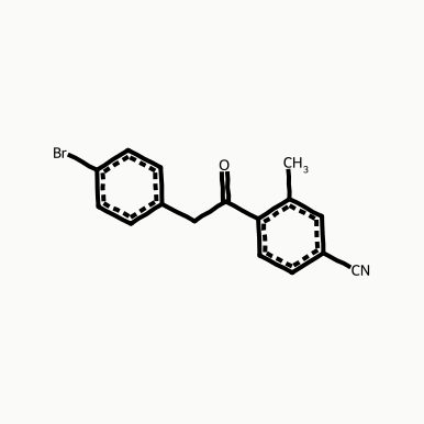 Cc1cc(C#N)ccc1C(=O)Cc1ccc(Br)cc1